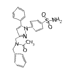 CC(=O)N(Cc1ccccc1)Cc1cc(-c2ccccc2)n(-c2ccc(S(N)(=O)=O)cc2)n1